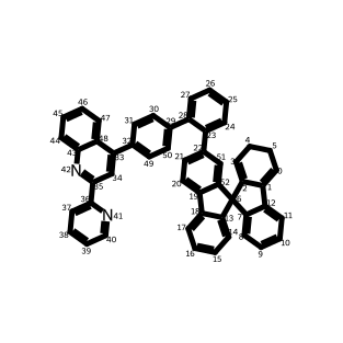 C1=C2C(=CCC1)C1(c3ccccc32)c2ccccc2-c2ccc(-c3ccccc3-c3ccc(-c4cc(-c5ccccn5)nc5ccccc45)cc3)cc21